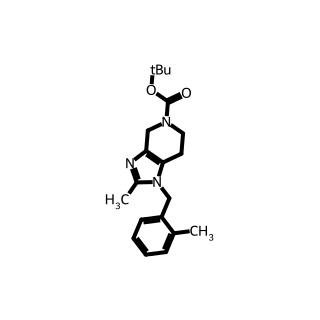 Cc1ccccc1Cn1c(C)nc2c1CCN(C(=O)OC(C)(C)C)C2